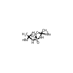 CCCCC(C)(C)NS(=O)(=O)NC(C)(C)CCCC